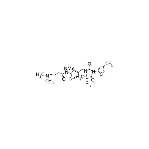 CNN(C(=O)CCCN(C)C)c1cc(CN2C(=O)N(c3cc(C(F)(F)F)cs3)C(=O)C2(C)C)ccn1